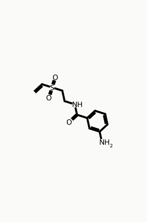 C=CS(=O)(=O)CCNC(=O)c1cccc(N)c1